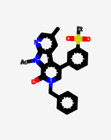 CCS(=O)(=O)c1cccc(-c2cn(Cc3ccccc3)c(=O)c3c2c2cc(C)cnc2n3C(C)=O)c1